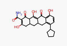 NC(=O)C1=C(O)CC2CC3Cc4c(C5CCCC5)ccc(O)c4C(=O)C3=C(O)C2C1=O